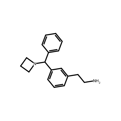 NCCc1cccc(C(c2ccccc2)N2CCC2)c1